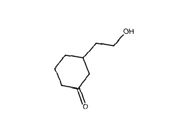 O=C1CCCC(CCO)C1